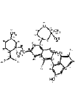 CCc1c(F)ccc2cc(O)cc(-c3c(F)cc4c(N5CCOC[C@@](C)(O)C5)nc(OC[C@]5(C)CN(C)CC[C@@H]5C(F)F)nc4c3F)c12